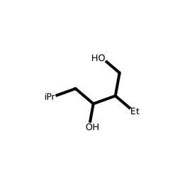 CCC(CO)C(O)CC(C)C